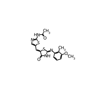 COc1cccc(N=C2NC(=O)C(=Cc3cnc(NC(C)=O)s3)S2)c1C